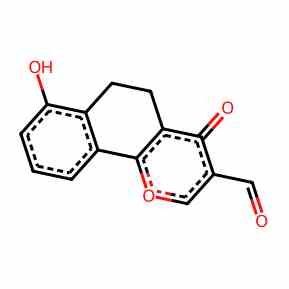 O=Cc1coc2c(c1=O)CCc1c(O)cccc1-2